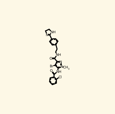 Cn1nc(C(=O)NCCc2ccc(C3=NCCN3)cc2)c(Br)c1NC(=O)c1ccccc1Cl